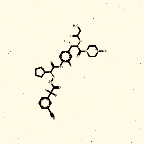 CCC(=O)N[C@@H](C(=O)N1CCN(C)CC1)[C@@H](C)c1ccc(NC(=O)[C@@H](SNC(=O)C(F)(F)c2cccc(C#N)c2)C2CCCC2)c(F)c1